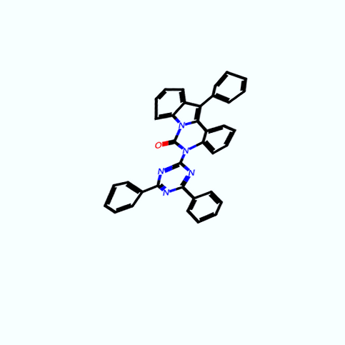 O=c1n(-c2nc(-c3ccccc3)nc(-c3ccccc3)n2)c2ccccc2c2c(-c3ccccc3)c3ccccc3n12